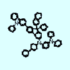 c1ccc(-c2ccc(N(c3cccc(N(c4ccccc4)c4ccccc4)c3)c3ccc4c(c3)-c3ccc(-c5ccc6c7ccccc7n(-c7ccccc7)c6c5)cc3C4(c3ccccc3)c3ccc4ccccc4c3)cc2)cc1